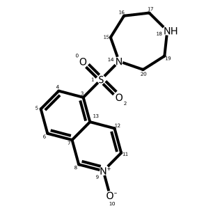 O=S(=O)(c1cccc2c[n+]([O-])ccc12)N1CCCNCC1